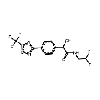 O=C(NCC(F)F)C(O)c1ccc(-c2noc(C(F)(F)F)n2)cc1